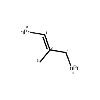 CCC/C=C(\C)CCCC